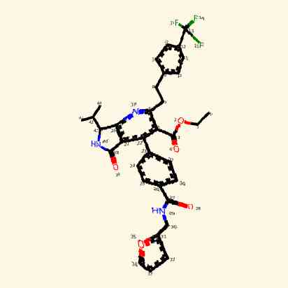 CCOC(=O)c1c(CCc2ccc(C(F)(F)F)cc2)nc2c(c1-c1ccc(C(=O)NCc3ccco3)cc1)C(=O)NC2C(C)C